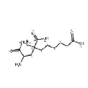 CC(CC(C)(CCCCCC(=O)O)C(=O)O)C(=O)O